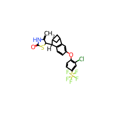 C=C1NC(=O)SC1[C@H]1c2ccc(Oc3ccc(S(F)(F)(F)(F)F)cc3Cl)cc2C2CC1C2